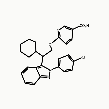 O=C(O)c1ccc(OCC(c2c3ccccc3nn2-c2ccc(Cl)cc2)C2CCCCC2)nc1